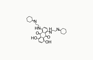 O=C1c2c(O)ccc(O)c2C(=O)c2c(NCCN=C3CCCCC3)ccc(NCCN=C3CCCCC3)c21